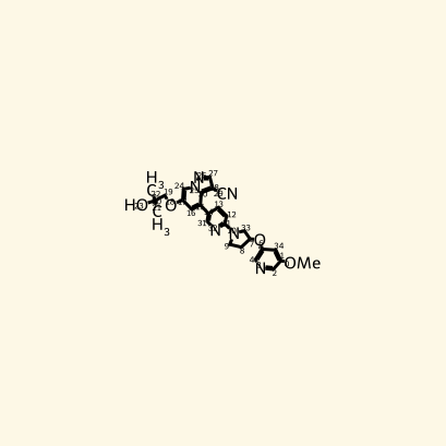 COc1cncc(OC2CCN(c3ccc(-c4cc(OCC(C)(C)O)cn5ncc(C#N)c45)cn3)C2)c1